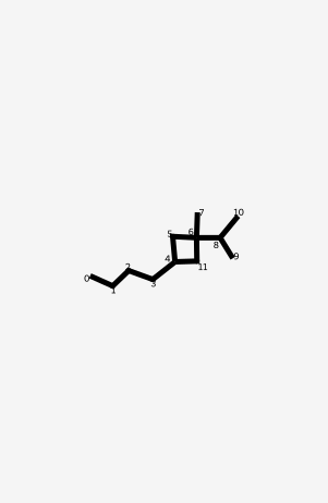 CCCCC1CC(C)(C(C)C)C1